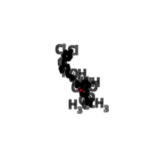 CN(C)S(=O)(=O)c1ccc2c(C(=O)NC[C@@H](O)CN3CCC(Oc4ccc(Cl)c(Cl)c4)CC3)c[nH]c(=O)c2c1